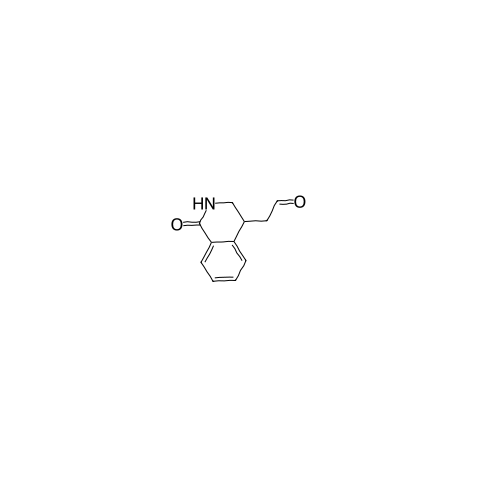 O=CCC1CNC(=O)c2ccccc21